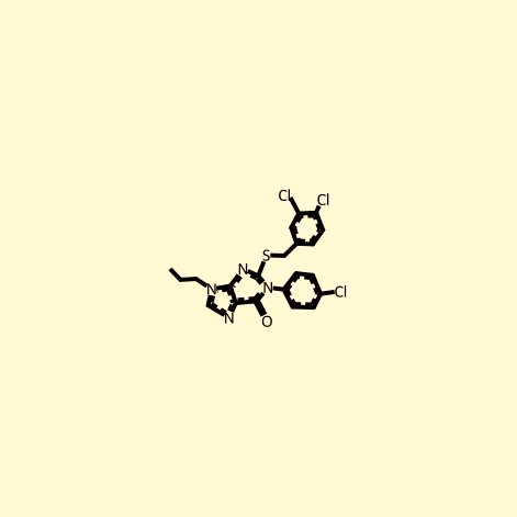 CCCn1cnc2c(=O)n(-c3ccc(Cl)cc3)c(SCc3ccc(Cl)c(Cl)c3)nc21